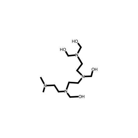 CN(C)CCN(CO)CCN(CO)CCN(CO)CO